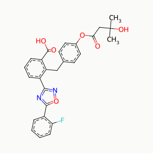 CC(C)(O)CC(=O)Oc1ccc(Cc2c(C(=O)O)cccc2-c2noc(-c3ccccc3F)n2)cc1